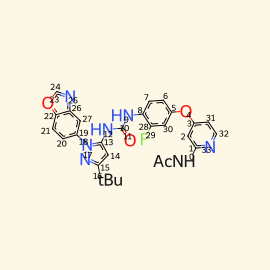 CC(=O)Nc1cc(Oc2ccc(NC(=O)Nc3cc(C(C)(C)C)nn3-c3ccc4ocnc4c3)c(F)c2)ccn1